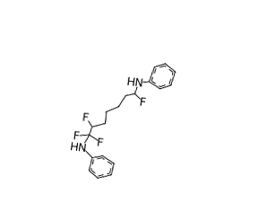 FC(CCCCC(F)C(F)(F)Nc1ccccc1)Nc1ccccc1